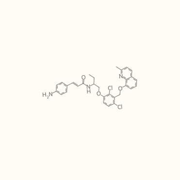 CCC(COc1ccc(Cl)c(COc2cccc3ccc(C)nc23)c1Cl)NC(=O)/C=C/c1ccc(N)cc1